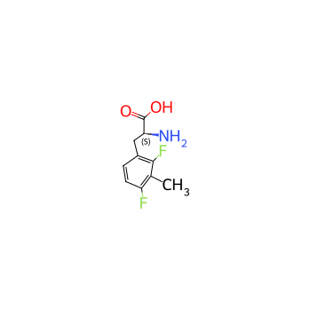 Cc1c(F)ccc(C[C@H](N)C(=O)O)c1F